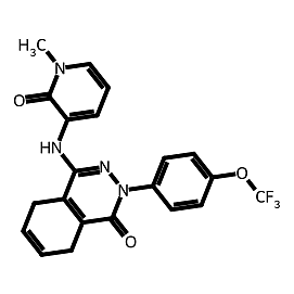 Cn1cccc(Nc2nn(-c3ccc(OC(F)(F)F)cc3)c(=O)c3c2CC=CC3)c1=O